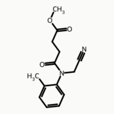 COC(=O)CCC(=O)N(CC#N)c1ccccc1C